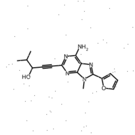 CC(C)C(O)C#Cc1nc(N)c2nc(-c3ccco3)n(C)c2n1